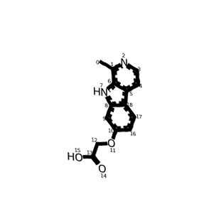 Cc1nccc2c1[nH]c1cc(OCC(=O)O)ccc12